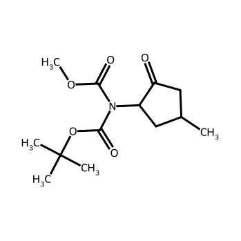 COC(=O)N(C(=O)OC(C)(C)C)C1CC(C)CC1=O